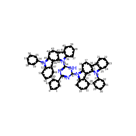 c1ccc(C2=NC(n3c4ccccc4c4c5c(ccc43)c3ccccc3n5-c3ccccc3)NC(n3c4ccccc4c4ccc5c(c6ccccc6n5-c5ccccc5)c43)=N2)cc1